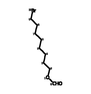 O=COCCCCCCCCBr